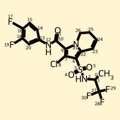 CC(NS(=O)(=O)c1c(Cl)c(C(=O)Nc2ccc(F)c(F)c2)n2c1C=CCC2)C(F)(F)F